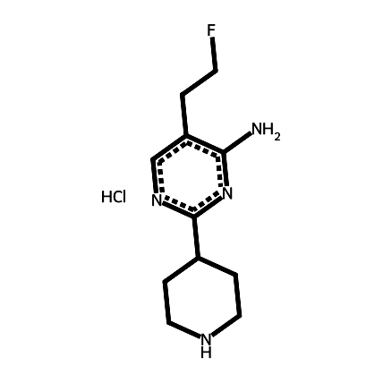 Cl.Nc1nc(C2CCNCC2)ncc1CCF